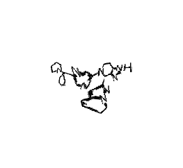 O=C(c1cnc(N2CCc3[nH]cnc3[C@H]2c2cc3ccccn3n2)cn1)N1CCCC1